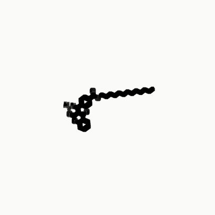 CCCCCCCCCCCCCOC(=O)c1ccc(/C(N)=C2/C(=O)Oc3ccccc3C2=O)cc1